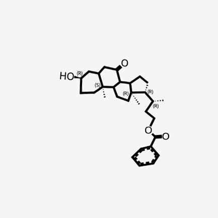 C[C@H](CCOC(=O)c1ccccc1)[C@H]1CCC2C3C(=O)CC4C[C@H](O)CC[C@]4(C)C3CC[C@@]21C